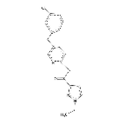 CCn1ccc(C(=O)Nc2ccc(Cc3cccc(Cl)c3)cn2)n1